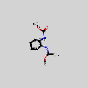 CCOC(C)Nc1ccccc1NC(=O)OC(C)(C)C